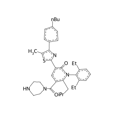 CCCCc1ccc(-c2nc(-c3cc(C(=O)N4CCNCC4)c(CC(C)C)n(-c4c(CC)cccc4CC)c3=O)sc2C)cc1